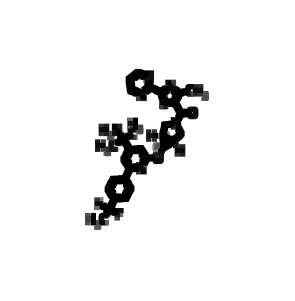 Cc1nc(-c2ncccn2)sc1C(=O)N1C[C@@H]2[C@H](C1)[C@@H]2Oc1cc(C(C)(C)N)cc(-c2ccc(C(C)(F)F)cc2)n1